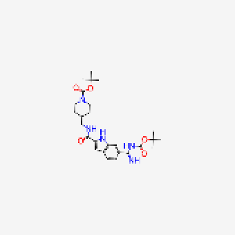 CC(C)(C)OC(=O)NC(=N)c1ccc2cc(C(=O)NCC3CCN(C(=O)OC(C)(C)C)CC3)[nH]c2c1